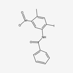 Cc1cc(I)c(NC(=O)c2ccccc2)cc1[N+](=O)[O-]